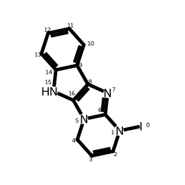 IN1C=CCn2c1nc1c3ccccc3[nH]c12